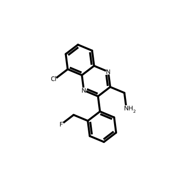 NCc1nc2cccc(Cl)c2nc1-c1ccccc1CF